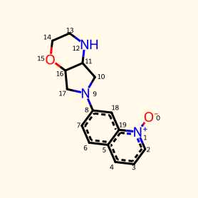 [O-][n+]1cccc2ccc(N3CC4NCCOC4C3)cc21